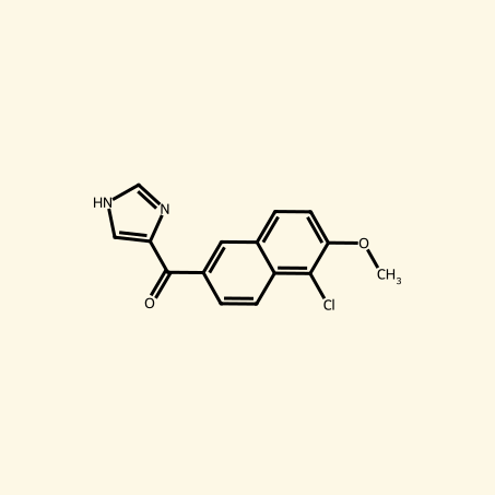 COc1ccc2cc(C(=O)c3c[nH]cn3)ccc2c1Cl